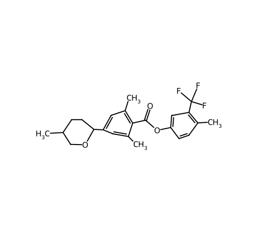 Cc1ccc(OC(=O)c2c(C)cc(C3CCC(C)CO3)cc2C)cc1C(F)(F)F